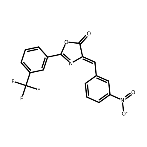 O=C1OC(c2cccc(C(F)(F)F)c2)=NC1=Cc1cccc([N+](=O)[O-])c1